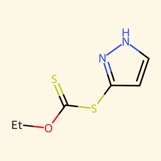 CCOC(=S)Sc1cc[nH]n1